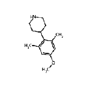 COc1cc(C)c(C2CCNCC2)c(C)c1